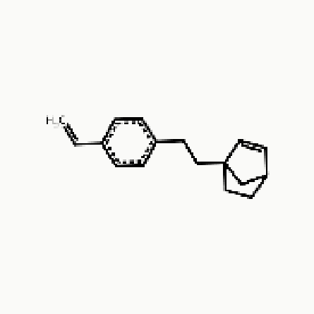 C=Cc1ccc(CCC23C=CC(CC2)C3)cc1